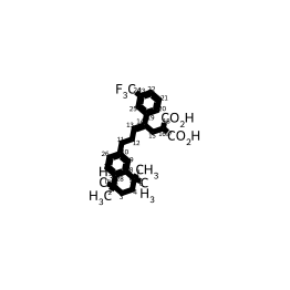 CC1(C)CCC(C)(C)c2cc(CC/C=C(\CC(C(=O)O)C(=O)O)c3cccc(C(F)(F)F)c3)ccc21